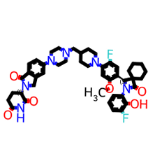 COc1cc(N2CCC(CN3CCN(c4ccc5c(c4)CN([C@H]4CCC(=O)NC4=O)C5=O)CC3)CC2)c(F)cc1[C@@H]1N(c2cccc(F)c2O)C(=O)C12CCCCC2